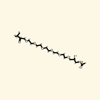 CC(=O)NCC(F)COCCOCCOCCOCCOCCOCC(=O)C(C)C